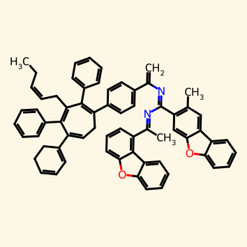 C=C(/N=C(\N=C(/C)c1cccc2oc3ccccc3c12)c1cc2oc3ccccc3c2cc1C)c1ccc(C2=C(c3ccccc3)C(C/C=C\CC)=C(c3ccccc3)C(C3=CC=CCC3)=CC2)cc1